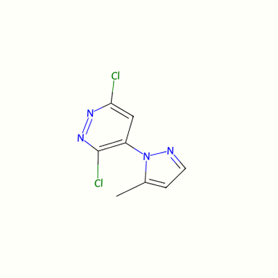 Cc1ccnn1-c1cc(Cl)nnc1Cl